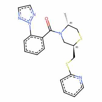 C[C@@H]1CS[C@@H](CSc2ccccn2)CN1C(=O)c1ccccc1-n1nccn1